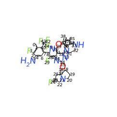 Cc1c(F)c(N)cc(-c2nc3c4c(nc(OCC56CCCN5C[C@H](F)C6)nc4c2F)N2CCN[C@@H](C)[C@H]2[C@H](C)O3)c1C(F)(F)F